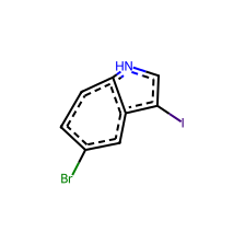 Brc1ccc2[nH]cc(I)c2c1